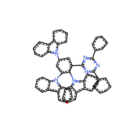 c1ccc(-c2nc(-c3ccccc3)nc(-c3cc(-n4c5ccccc5c5ccccc54)cc(-n4c5ccccc5c5ccccc54)c3-n3c4ccccc4c4ccccc43)n2)cc1